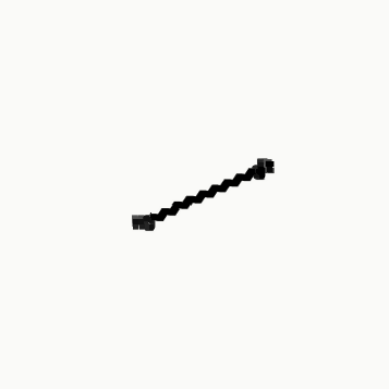 CCOCCCCCCCCCCCCCCCCCO